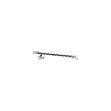 NCCCCCCCCCCCCC=CCCCCCCCC(CCO)CCO